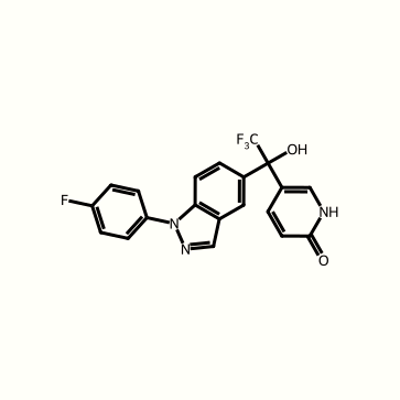 O=c1ccc(C(O)(c2ccc3c(cnn3-c3ccc(F)cc3)c2)C(F)(F)F)c[nH]1